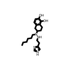 CCCCCCN(NCCc1c[nH]cn1)C1CCc2c(ccc(O)c2O)C1